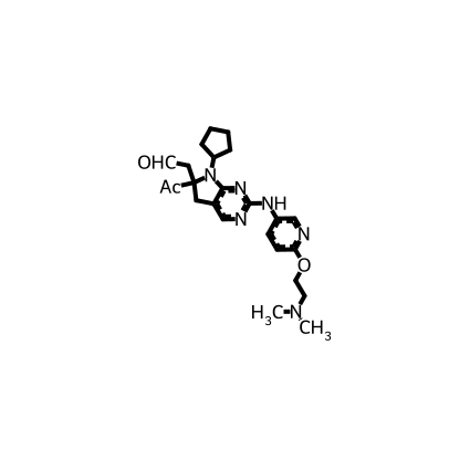 CC(=O)C1(CC=O)Cc2cnc(Nc3ccc(OCCN(C)C)nc3)nc2N1C1CCCC1